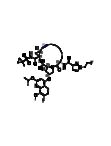 COc1c(F)ccc2c(O[C@@H]3C[C@H]4C(=O)N[C@]5(C(=O)NS(=O)(=O)C6(C)CC6)C[C@H]5/C=C\CCCCC[C@H](NC(=O)c5ccn(CCF)n5)C(=O)N4C3)cc(OC(C)C)nc12